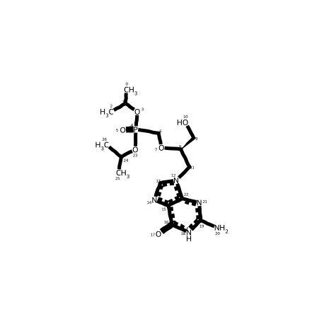 CC(C)OP(=O)(CO[C@@H](CO)Cn1cnc2c(=O)[nH]c(N)nc21)OC(C)C